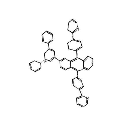 C1=CCC([C@H]2C=C(c3ccc4c(-c5ccc(-c6ccccn6)cc5)c5ccccc5c(C5=CC=C(C6=NC=CCC6)CC5)c4c3)C=C(c3ccccc3)C2)C=C1